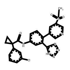 CS(=O)(=O)c1cncc(-c2ccc(NC(=O)C3(c4cccc(Cl)c4)CC3)cc2-c2nnn[nH]2)c1